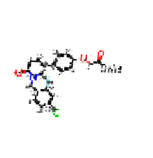 COC(=O)COc1ccc(-c2ccc(=O)n(Cc3ccc(Cl)cc3F)c2)cc1